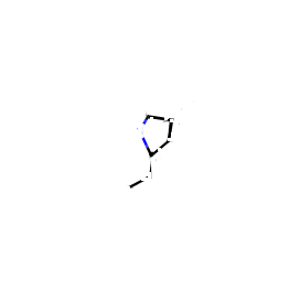 CC[C@@H]1C[C@@H](F)CN1